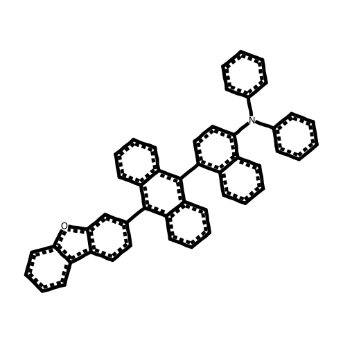 c1ccc(N(c2ccccc2)c2ccc(-c3c4ccccc4c(-c4ccc5c(c4)oc4ccccc45)c4ccccc34)c3ccccc23)cc1